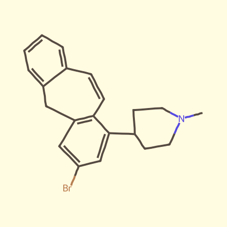 CN1CCC(c2cc(Br)cc3c2C=Cc2ccccc2C3)CC1